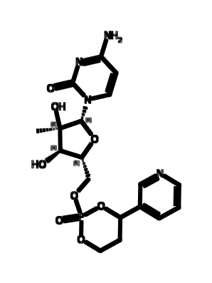 C[C@@]1(O)[C@H](O)[C@@H](COP2(=O)OCCC(c3cccnc3)O2)O[C@H]1n1ccc(N)nc1=O